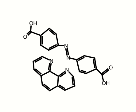 O=C(O)c1ccc(N=Nc2ccc(C(=O)O)cc2)cc1.c1cnc2c(c1)ccc1cccnc12